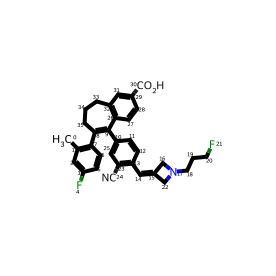 Cc1cc(F)ccc1C1=C(c2ccc(C=C3CN(CCCF)C3)c(C#N)c2)c2ccc(C(=O)O)cc2CCC1